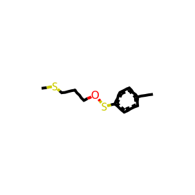 CSCCCOSc1ccc(C)cc1